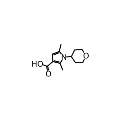 Cc1cc(C(=O)O)c(C)n1C1CCOCC1